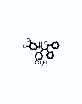 CCOC(=O)N1CCC(C(Nc2ccc(Cl)c(Cl)c2)C(C(=O)c2ccccc2)c2ccccc2)CC1